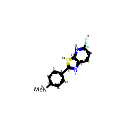 CNc1ccc(-c2nc3ccc(F)nc3s2)cc1